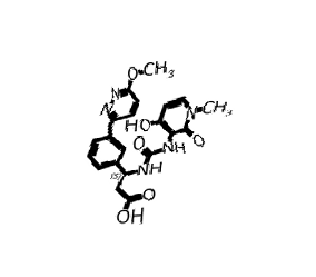 COc1ccc(-c2cccc([C@H](CC(=O)O)NC(=O)Nc3c(O)ccn(C)c3=O)c2)nn1